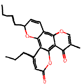 CCCCC1C=Cc2c(c3c(CCC)[c]c(=O)oc3c3c(=O)c(C)coc23)O1